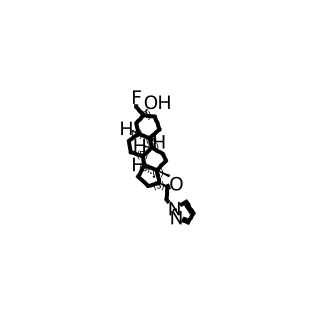 C[C@@]12CC[C@H](C(=O)Cn3cccn3)[C@@]1(C)CC[C@@H]1[C@H]3CC[C@](O)(CF)C[C@@H]3CC[C@H]12